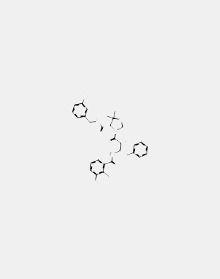 Cc1c(O)cccc1C(=O)N[C@@H](Cc1ccccc1)[C@H](O)C(=O)N1CSC(C)(C)[C@H]1C(=O)NCc1cccc(O)c1